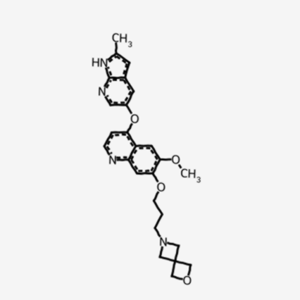 COc1cc2c(Oc3cnc4[nH]c(C)cc4c3)ccnc2cc1OCCCN1CC2(COC2)C1